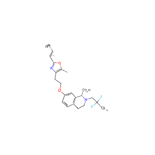 CCC/C=C/c1nc(CCOc2ccc3c(c2)C(C(=O)O)N(CC(F)(F)C(F)(F)F)CC3)c(C)o1